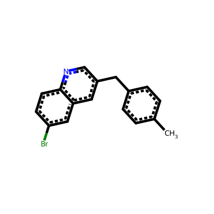 Cc1ccc(Cc2cnc3ccc(Br)cc3c2)cc1